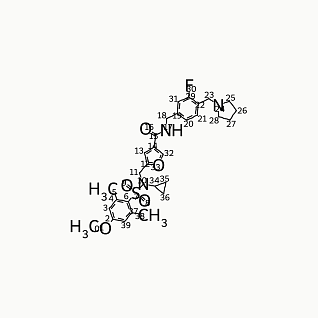 COc1cc(C)c(S(=O)(=O)N(Cc2cc(C(=O)NCc3ccc(CN4CCCC4)c(F)c3)co2)C2CC2)c(C)c1